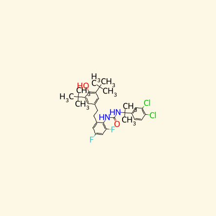 CC(C)(C)c1cc(CCc2cc(F)cc(F)c2NC(=O)NC(C)(C)c2ccc(Cl)c(Cl)c2)cc(C(C)(C)C)c1O